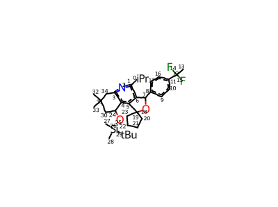 CC(C)c1nc2c(c3c1C(c1ccc(C(C)(F)F)cc1)OC31CCCC1)C(O[Si](C)(C)C(C)(C)C)CC(C)(C)C2